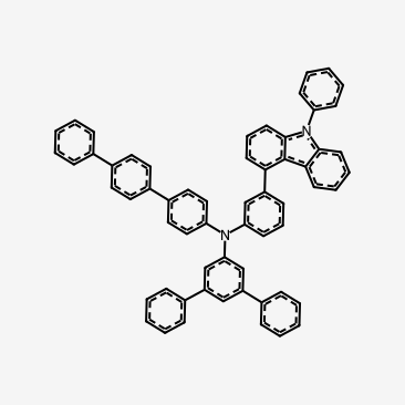 c1ccc(-c2ccc(-c3ccc(N(c4cc(-c5ccccc5)cc(-c5ccccc5)c4)c4cccc(-c5cccc6c5c5ccccc5n6-c5ccccc5)c4)cc3)cc2)cc1